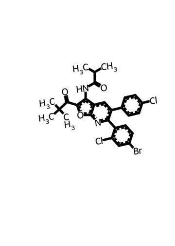 CC(C)C(=O)Nc1c(C(=O)C(C)(C)C)oc2nc(-c3ccc(Br)cc3Cl)c(-c3ccc(Cl)cc3)cc12